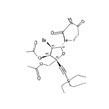 CC[Si](C#C[C@]1(COC(C)=O)O[C@@H](n2ccc(=O)[nH]c2=O)[C@H](Br)[C@@H]1OC(C)=O)(CC)CC